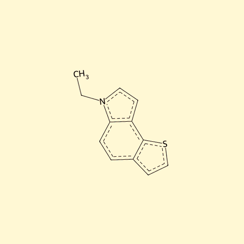 CCn1ccc2c3sccc3ccc21